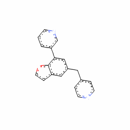 c1cncc(-c2cc(Cc3ccncc3)cc3ccoc23)c1